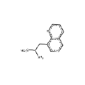 NC(Cc1cccc2cccnc12)C(=O)O